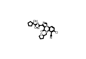 N#Cc1c(Cl)ccc2c1n(CC1CCCO1)c(=O)c1c(-c3noc(C4(O)CCCC4)n3)ncn12